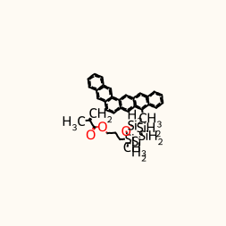 C=C(C)C(=O)OCCC[Si]1(C)O[SiH2][SiH2][SiH2][SiH2]1.Cc1c2ccccc2cc2cc3c(ccc4cc5ccccc5cc43)cc12